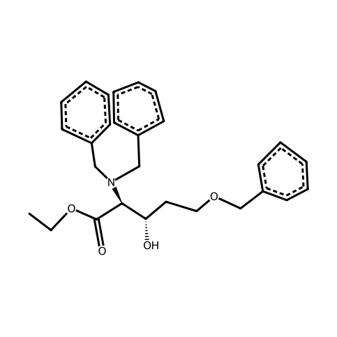 CCOC(=O)[C@H]([C@@H](O)CCOCc1ccccc1)N(Cc1ccccc1)Cc1ccccc1